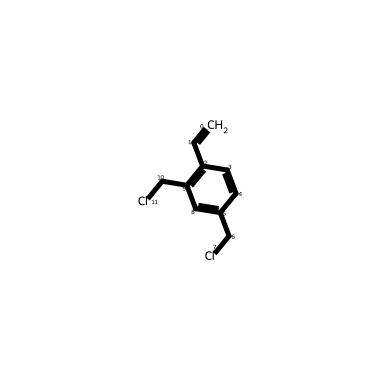 C=Cc1ccc(CCl)cc1CCl